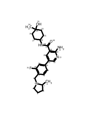 CC1CCCN1Cc1ccc(-c2cnc(N)c(C(=O)NC3CCC(C)(O)CC3)c2)cc1F